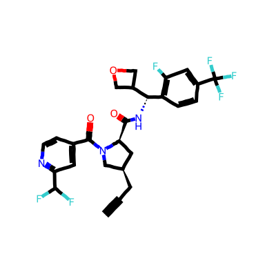 C#CC[C@@H]1C[C@H](C(=O)N[C@@H](c2ccc(C(F)(F)F)cc2F)C2COC2)N(C(=O)c2ccnc(C(F)F)c2)C1